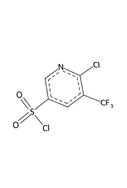 O=S(=O)(Cl)c1cnc(Cl)c(C(F)(F)F)c1